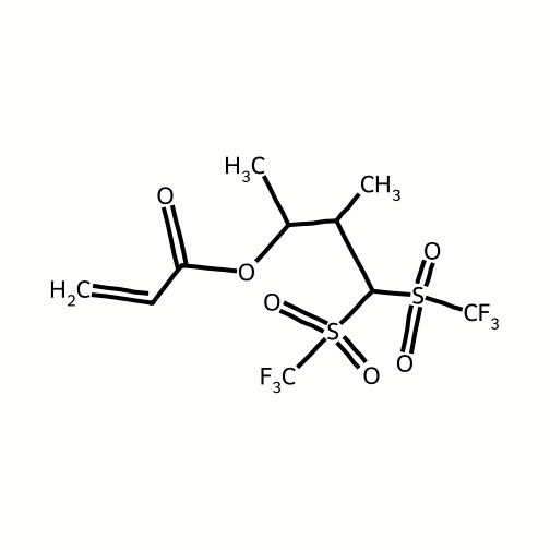 C=CC(=O)OC(C)C(C)C(S(=O)(=O)C(F)(F)F)S(=O)(=O)C(F)(F)F